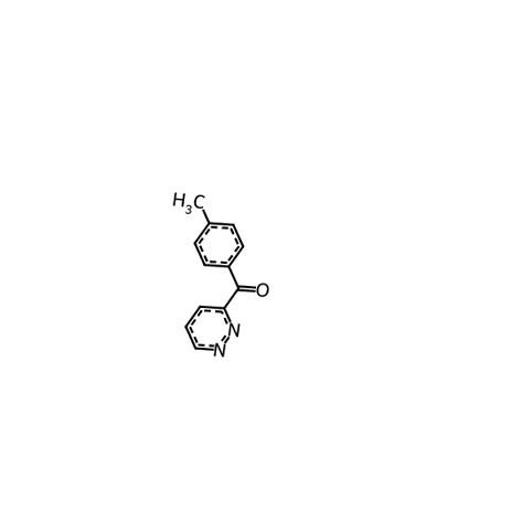 Cc1ccc(C(=O)c2cccnn2)cc1